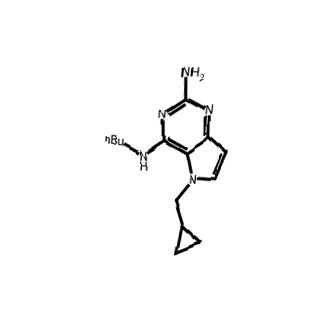 CCCCNc1nc(N)nc2ccn(CC3CC3)c12